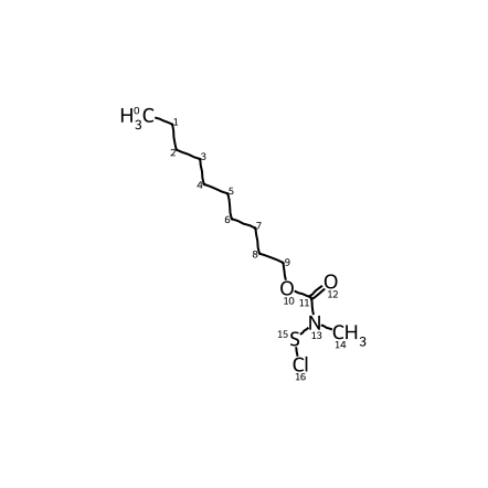 CCCCCCCCCCOC(=O)N(C)SCl